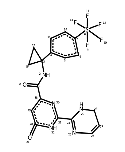 O=C(NC1(c2ccc(S(F)(F)(F)(F)F)cc2)CC1)c1cc(=O)[nH]c(C2=NC=CCN2)n1